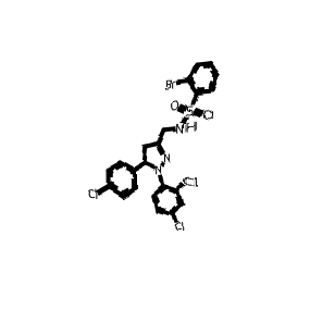 O=S(=O)(NCC1=NN(c2ccc(Cl)cc2Cl)C(c2ccc(Cl)cc2)C1)c1ccccc1Br